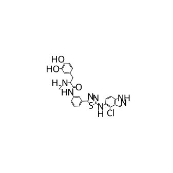 NC(Cc1ccc(O)c(O)c1)C(=O)Nc1cccc(-c2nnc(Nc3ccc4[nH]ncc4c3Cl)s2)c1